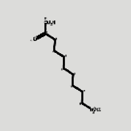 CCCCCCCCCCCCCCCCC(=O)C(=O)O